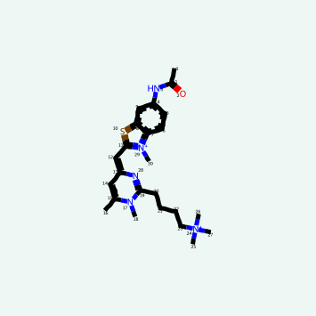 CC(=O)Nc1ccc2c(c1)sc(/C=C1/C=C(C)N(C)C(CCCC[N+](C)(C)C)=N1)[n+]2C